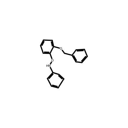 c1ccc(COc2ccccc2ONc2ccccc2)cc1